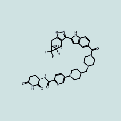 C[C@@]12Cc3[nH]nc(-c4cc5cc(C(=O)N6CCN(CC7CCN(c8ccc(C(=O)N[C@H]9CCC(=O)NC9=O)nc8)CC7)CC6)ccc5[nH]4)c3C[C@@H]1C2(F)F